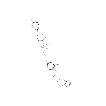 C[C@H]1CN(c2ncc(Cl)cn2)CCC1[C@@]1(C)C[C@@]1(C)CCOc1ccc(CC(=O)N2Cc3sccc3C(O)C2)c(F)c1